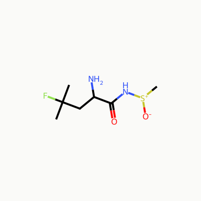 C[S+]([O-])NC(=O)C(N)CC(C)(C)F